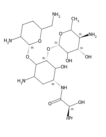 CCC[C@H](O)C(=O)N[C@@H]1CC(N)C(O[C@H]2OC(CN)CCC2N)[C@H](O[C@@H]2OC(C)[C@@H](N)[C@H](O)C2O)C1O